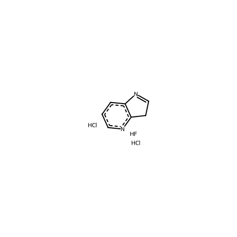 C1=Nc2cccnc2C1.Cl.Cl.F